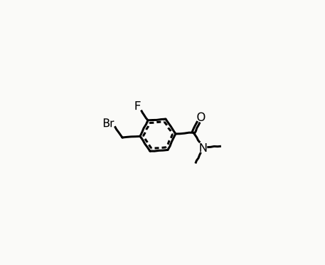 CN(C)C(=O)c1ccc(CBr)c(F)c1